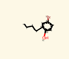 CCCCc1cc(Br)ccc1O